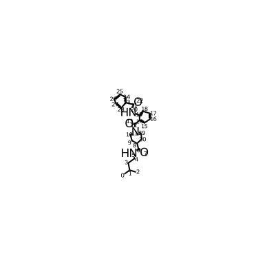 CC(C)CCNC(=O)C1CCN(C(=O)c2ccccc2NC(=O)c2ccccc2)CC1